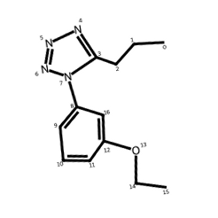 CCCc1nnnn1-c1cccc(OCC)c1